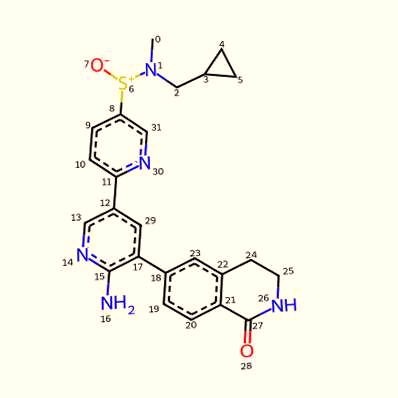 CN(CC1CC1)[S+]([O-])c1ccc(-c2cnc(N)c(-c3ccc4c(c3)CCNC4=O)c2)nc1